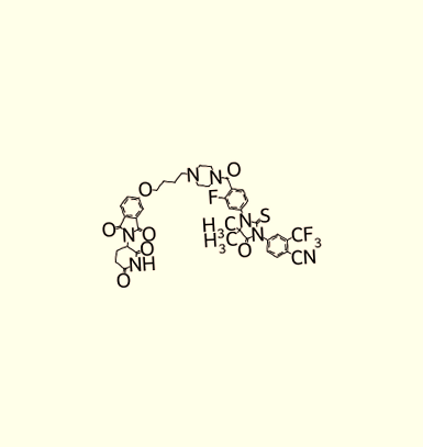 CC1(C)C(=O)N(c2ccc(C#N)c(C(F)(F)F)c2)C(=S)N1c1ccc(C(=O)N2CCN(CCCCOc3ccc4c(c3)C(=O)N(C3CCC(=O)NC3=O)C4=O)CC2)c(F)c1